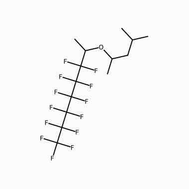 CC(C)CC(C)OC(C)C(F)(F)C(F)(F)C(F)(F)C(F)(F)C(F)(F)C(F)(F)F